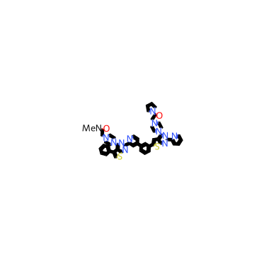 CNC(=O)CN1CCN(c2nc(-c3cc(-c4cccc(-c5cc6c(N7CCN(CC(=O)N8CCCC8)CC7)nc(-c7ccccn7)nc6s5)c4)ccn3)nc3scc(-c4ccccc4)c23)CC1